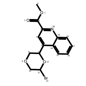 COC(=O)c1cc(C2COCC(Br)O2)c2ccccc2n1